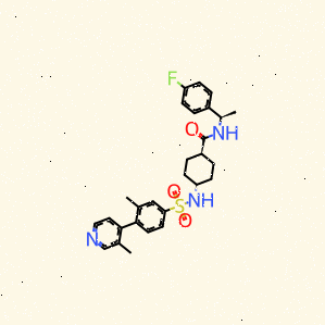 Cc1cnccc1-c1ccc(S(=O)(=O)N[C@H]2CC[C@H](C(=O)N[C@H](C)c3ccc(F)cc3)CC2)cc1C